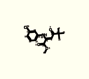 COC(=O)/C(=C/C(=O)C(C)(C)C)Nc1cccc(Cl)c1